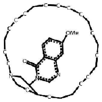 COc1ccc2c(=O)n(C3CN4CCCCCCCCCCCCCCCCCCCCCC3CC4)cnc2c1